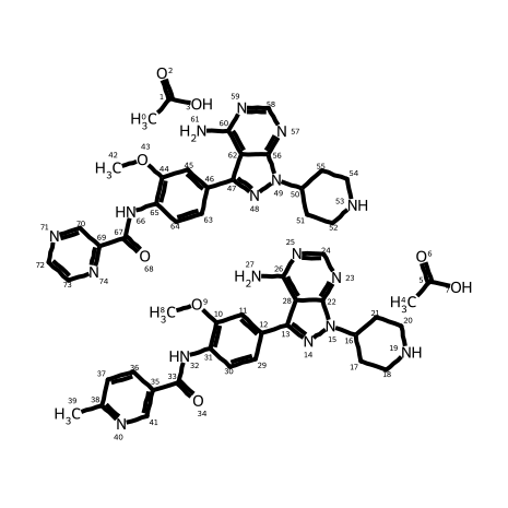 CC(=O)O.CC(=O)O.COc1cc(-c2nn(C3CCNCC3)c3ncnc(N)c23)ccc1NC(=O)c1ccc(C)nc1.COc1cc(-c2nn(C3CCNCC3)c3ncnc(N)c23)ccc1NC(=O)c1cnccn1